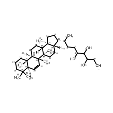 CC(CCC(O)C(O)C(O)CO)[C@H]1CC[C@]2(C)[C@H]3CC[C@@H]4[C@@]5(C)CCCC(C)(C)[C@@H]5C=C[C@@]4(C)[C@]3(C)CC[C@@H]12